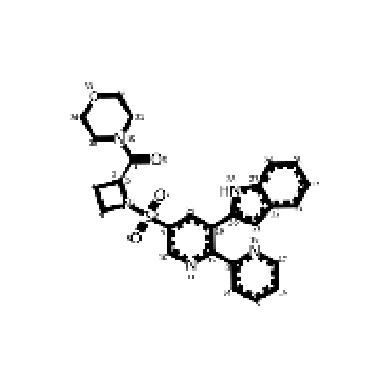 O=C([C@@H]1CCN1S(=O)(=O)c1cnc(-c2ccccn2)c(-c2cc3ccccc3[nH]2)c1)N1CCOCC1